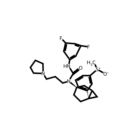 C[S+]([O-])c1cccc([C@]23CC[C@@H](N(CCCN4CCCC4)C(=O)Nc4cc(F)cc(F)c4)CC2C3)c1